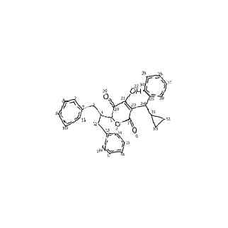 O=C1OC(C(Cc2ccccc2)Cc2ccccn2)C(=O)C(O)=C1C(c1ccccc1)C1CC1